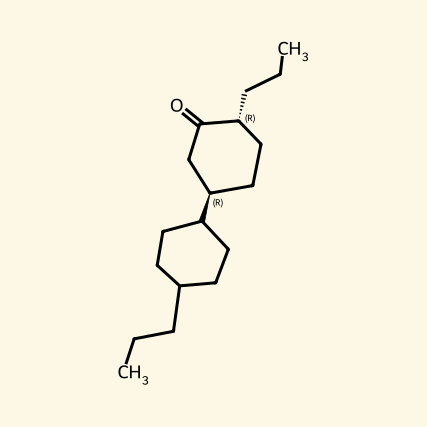 CCCC1CCC([C@@H]2CC[C@@H](CCC)C(=O)C2)CC1